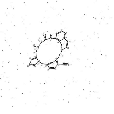 C[C@@H]1C(=O)Nc2cccc3ccc(cc23)Oc2cc(ccc2C#N)Cn2cncc2CN1C